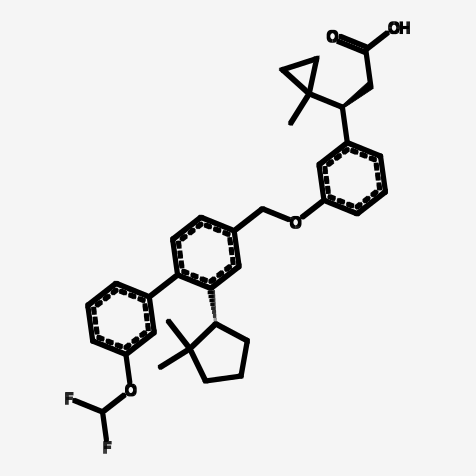 CC1(C)CCC[C@H]1c1cc(COc2cccc([C@H](CC(=O)O)C3(C)CC3)c2)ccc1-c1cccc(OC(F)F)c1